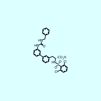 O=C(NCc1ccccc1)Nc1cccc(-c2cccc(C[C@@H](NS(=O)(=O)c3c(Cl)cccc3Cl)C(=O)O)c2)c1